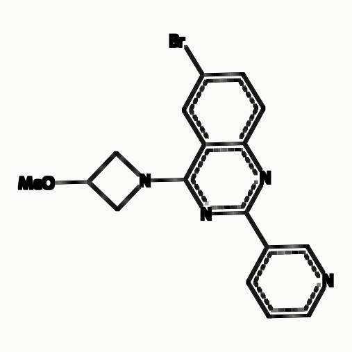 COC1CN(c2nc(-c3cccnc3)nc3ccc(Br)cc23)C1